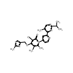 Cc1nc(COc2c(C)c(C)n(-c3ccnc(-c4nc(C(C)C)ncc4C)c3)c(=O)c2Cl)cs1